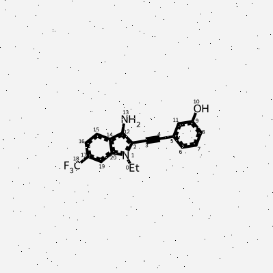 CCn1c(C#Cc2cccc(O)c2)c(N)c2ccc(C(F)(F)F)cc21